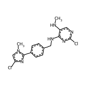 CNc1cnc(Cl)nc1NCc1ccc(-c2nc(Cl)cn2C)cc1